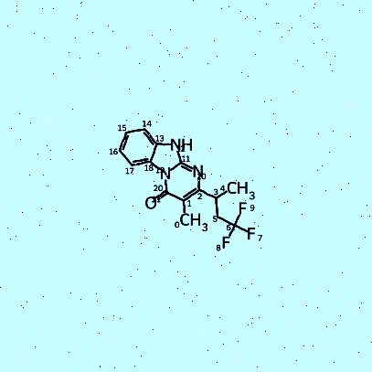 Cc1c(C(C)CC(F)(F)F)nc2[nH]c3ccccc3n2c1=O